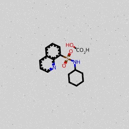 O=C(O)O.O=S(=O)(NC1CCCCC1)c1cccc2cccnc12